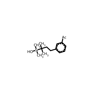 CC(=O)c1cccc(CCC(C)(C)[Si](C)(C)O)c1